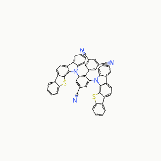 N#Cc1cc(C#N)cc(-c2c(-n3c4ccccc4c4ccc5c6ccccc6sc5c43)cc(C#N)cc2-n2c3ccccc3c3ccc4c5ccccc5sc4c32)c1